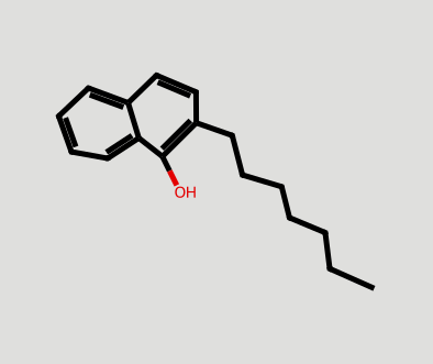 CCCCCCCc1ccc2ccccc2c1O